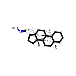 CO/N=C/[C@H]1CC[C@H]2[C@@H]3CC[C@@H]4CCCC[C@]4(C)[C@H]3CC[C@]12C